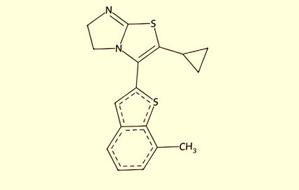 Cc1cccc2cc(C3=C(C4CC4)SC4=NCCN43)sc12